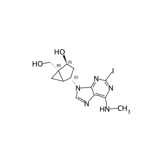 CNc1nc(I)nc2c1ncn2[C@H]1C[C@H](O)[C@]2(CO)CC12